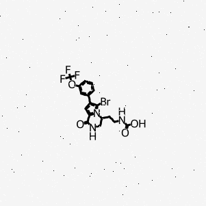 O=C(O)NCCC1CNC(=O)c2cc(-c3cccc(OC(F)(F)F)c3)c(Br)n21